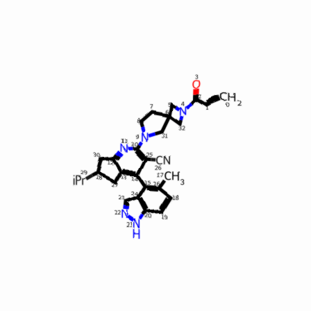 C=CC(=O)N1CC2(CCN(c3nc4c(c(-c5c(C)ccc6[nH]ncc56)c3C#N)CC(C(C)C)C4)C2)C1